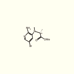 COC(=O)[C@@H](C)N(C)c1cc(Br)cnc1N